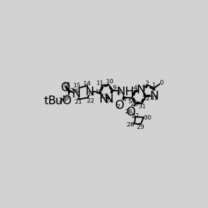 Cc1cn2cc(C(=O)Nc3ccc(N4CCN(C(=O)OC(C)(C)C)CC4)nn3)c(OC3CCC3)cc2n1